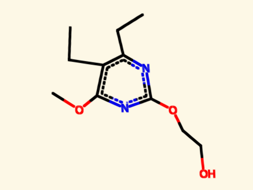 CCc1nc(OCCO)nc(OC)c1CC